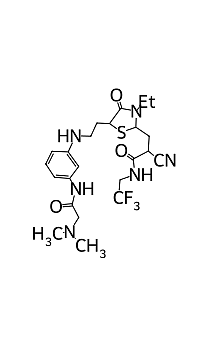 CCN1C(=O)C(CCNc2cccc(NC(=O)CN(C)C)c2)SC1CC(C#N)C(=O)NCC(F)(F)F